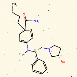 CCCCC1(C(N)=O)C=CC(N(C)[C@H](CN2CC[C@H](O)C2)c2ccccc2)=CC1